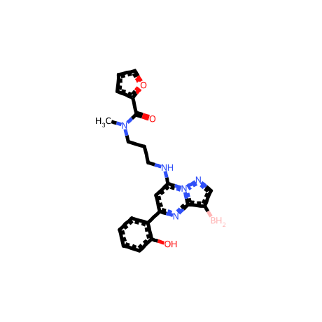 Bc1cnn2c(NCCCN(C)C(=O)c3ccco3)cc(-c3ccccc3O)nc12